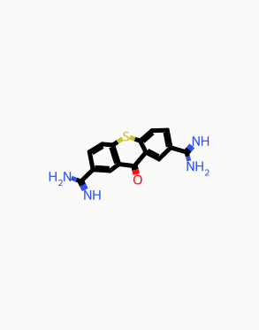 N=C(N)c1ccc2sc3ccc(C(=N)N)cc3c(=O)c2c1